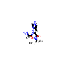 CC[C@H](C)[C@H](NC(=O)[C@H](Cc1c[nH]cn1)NC(=O)[C@H](C)N)C(=O)O